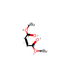 CCC(C)OC(=O)/C=C\C(=O)OC(C)CC